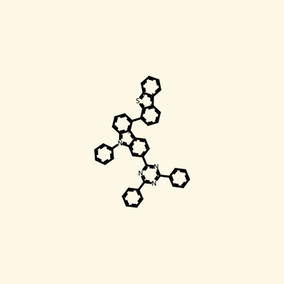 c1ccc(-c2nc(-c3ccccc3)nc(-c3ccc4c5c(-c6cccc7c6sc6ccccc67)cccc5n(-c5ccccc5)c4c3)n2)cc1